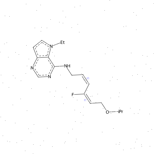 CCn1ccc2ncnc(NC/C=C\C(F)=C/COC(C)C)c21